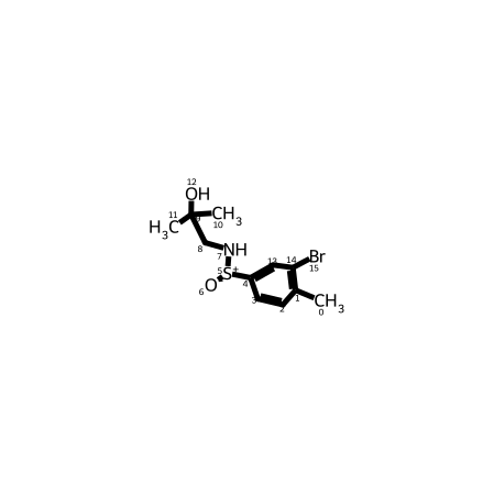 Cc1ccc([S+]([O-])NCC(C)(C)O)cc1Br